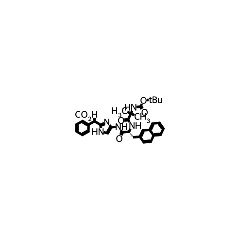 CC(C)(C)OC(=O)NC(C)(C)C(=O)N[C@H](Cc1ccc2ccccc2c1)C(=O)Nc1c[nH]c(C(C(=O)O)c2ccccc2)n1